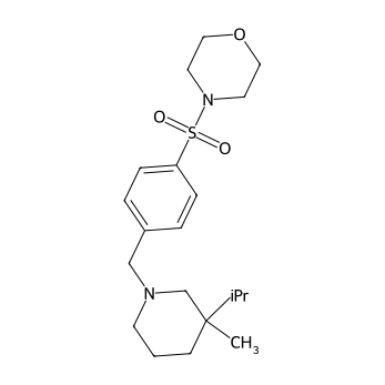 CC(C)C1(C)CCCN(Cc2ccc(S(=O)(=O)N3CCOCC3)cc2)C1